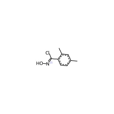 Cc1ccc(/C(Cl)=N/O)c(C)c1